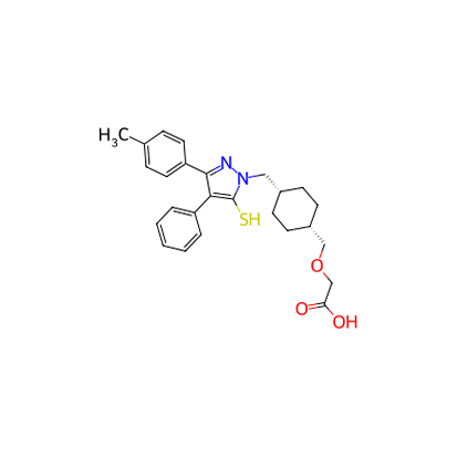 Cc1ccc(-c2nn(C[C@H]3CC[C@@H](COCC(=O)O)CC3)c(S)c2-c2ccccc2)cc1